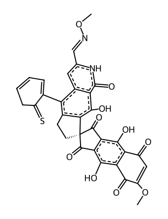 CON=Cc1cc2c(C3=CC=CCC3=S)c3c(c(O)c2c(=O)[nH]1)[C@@]1(CC3)C(=O)c2c(O)c3c(c(O)c2C1=O)C(=O)C(OC)=CC3=O